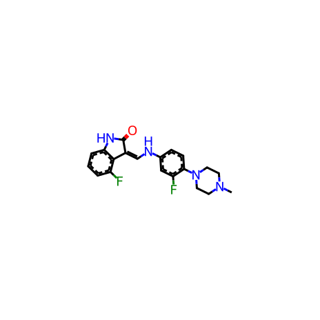 CN1CCN(c2ccc(NC=C3C(=O)Nc4cccc(F)c43)cc2F)CC1